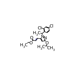 CCOC(=O)/C=C/c1cc(OC(C)C)nn1C(C)c1ccc(Cl)cc1Cl